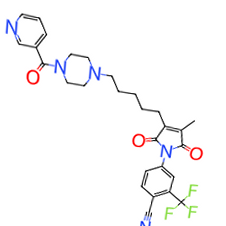 CC1=C(CCCCCN2CCN(C(=O)c3cccnc3)CC2)C(=O)N(c2ccc(C#N)c(C(F)(F)F)c2)C1=O